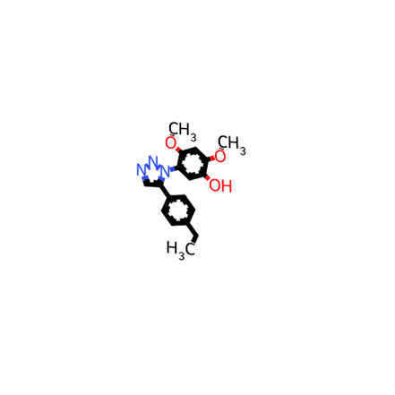 CCc1ccc(-c2cnnn2-c2cc(O)c(OC)cc2OC)cc1